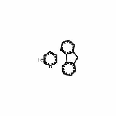 [Fe].c1ccc2c(c1)Cc1ccccc1-2.c1ccncc1